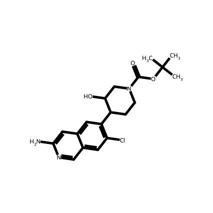 CC(C)(C)OC(=O)N1CCC(c2cc3cc(N)ncc3cc2Cl)C(O)C1